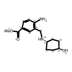 COC(=O)c1ccc(N)c(CN[C@H]2CC[C@H](O)CC2)c1